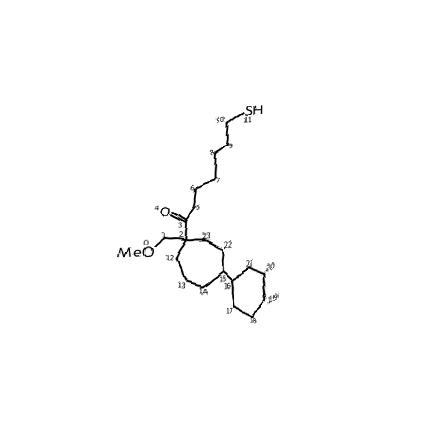 COCC1(C(=O)CCCCCCS)CCCC(C2CCCCC2)CC1